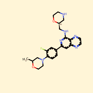 CC1CN(c2ccc(-c3cc4nccnc4c(NC[C@@H]4CNCCO4)n3)cc2F)CCO1